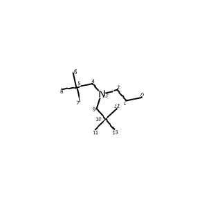 CCCN(CC(C)(C)C)CC(C)(C)C